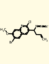 C=CCC(N=[N+]=[N-])c1cc2cc(Br)c(OC)cc2nc1Cl